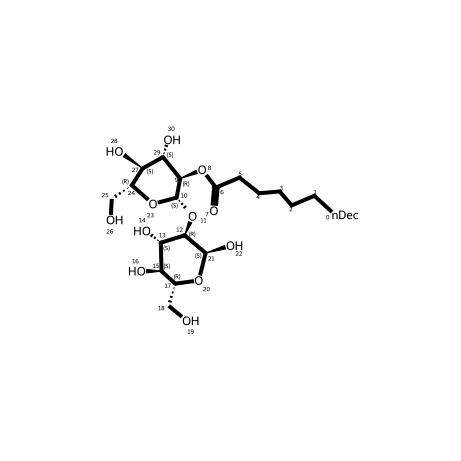 CCCCCCCCCCCCCCCC(=O)O[C@H]1[C@H](O[C@@H]2[C@@H](O)[C@H](O)[C@@H](CO)O[C@@H]2O)O[C@H](CO)[C@@H](O)[C@@H]1O